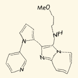 COCCNc1c(-c2cccn2-c2cccnc2)nc2ccccn12